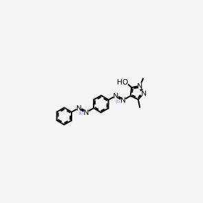 Cc1nn(C)c(O)c1/N=N/c1ccc(/N=N/c2ccccc2)cc1